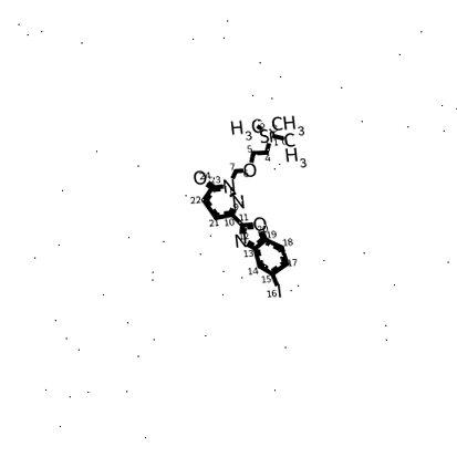 C[Si](C)(C)CCOCn1nc(-c2nc3cc(I)ccc3o2)ccc1=O